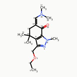 CCOCc1nn(C)c2c1C(C)(C)C/C(=C/N(C)C)C2=O